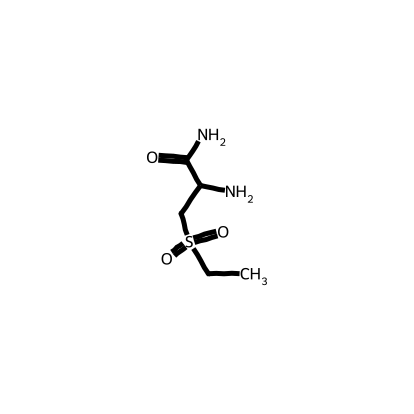 CCS(=O)(=O)CC(N)C(N)=O